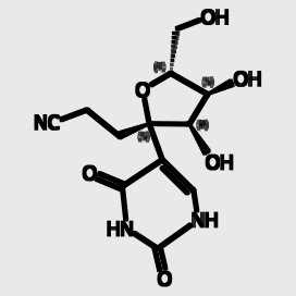 N#CCC[C@@]1(c2c[nH]c(=O)[nH]c2=O)O[C@H](CO)[C@@H](O)[C@H]1O